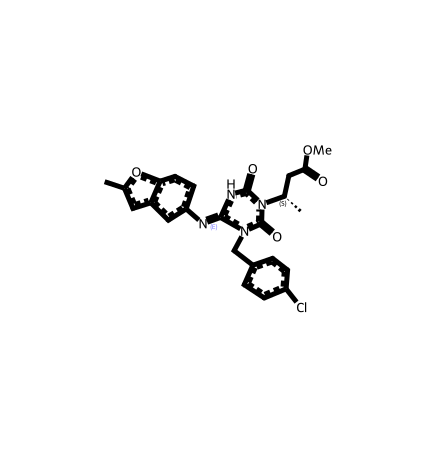 COC(=O)C[C@H](C)n1c(=O)[nH]/c(=N\c2ccc3oc(C)cc3c2)n(Cc2ccc(Cl)cc2)c1=O